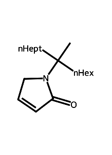 CCCCCCCC(C)(CCCCCC)N1CC=CC1=O